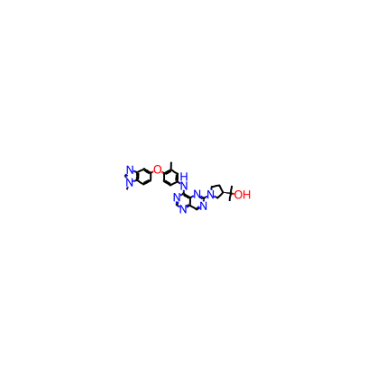 Cc1cc(Nc2ncnc3cnc(N4CC[C@@H](C(C)(C)O)C4)nc23)ccc1Oc1ccc2c(c1)ncn2C